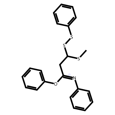 CSC(C/C(=N/c1ccccc1)Oc1ccccc1)SSc1ccccc1